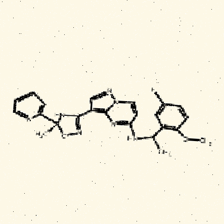 COc1ccc(F)cc1[C@@H](C)Nc1ccn2ncc(C3=NO[C@](C)(c4ccccn4)N3)c2n1